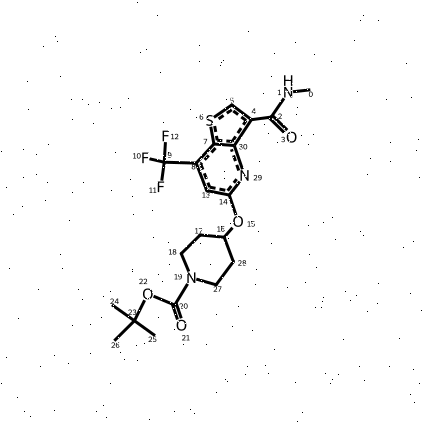 CNC(=O)c1csc2c(C(F)(F)F)cc(OC3CCN(C(=O)OC(C)(C)C)CC3)nc12